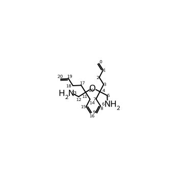 C=CCCC(CN)(CC=C)OC(CN)(CC=C)CCC=C